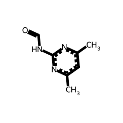 Cc1cc(C)nc(NC=O)n1